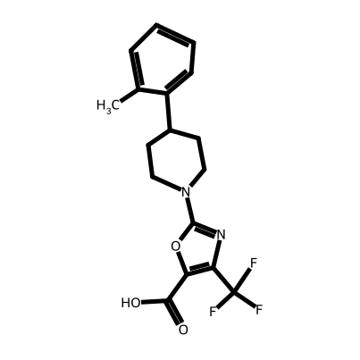 Cc1ccccc1C1CCN(c2nc(C(F)(F)F)c(C(=O)O)o2)CC1